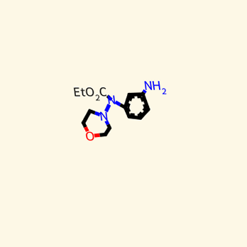 CCOC(=O)N(c1cccc(N)c1)N1CCOCC1